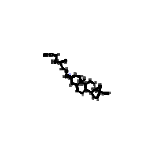 C#CC12CCC3C4CCC5=C/C(=N/OCC(=O)NCC=O)CC[C@]5(C)C4CC[C@@]31O2